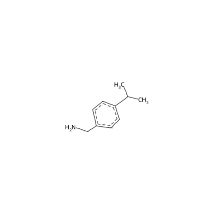 CC(C)c1c[c]c(CN)cc1